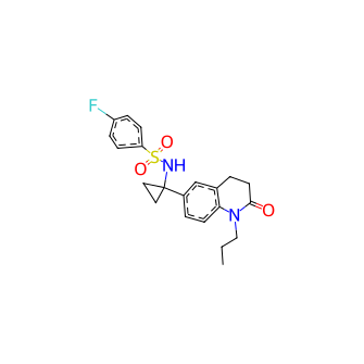 CCCN1C(=O)CCc2cc(C3(NS(=O)(=O)c4ccc(F)cc4)CC3)ccc21